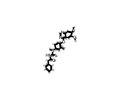 COc1cc2ncnc(Oc3ccc(N(C)C(=S)NC(=O)Cc4ccccc4)cc3F)c2cc1OC